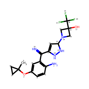 CC1(Oc2ccc(N)c(C(=N)C3=CC(N4CC(O)(C(F)(F)F)C4)NN3)c2)CC1